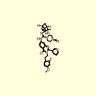 COc1ccc(CCn2c(-c3cccnc3)nc3cc(N/C(=N/[C@H]4C[C@@H]5C[C@H]([C@@H]4C)C5(C)C)N4C[C@@H](C)N(C#N)[C@@H](C)C4)ccc3c2=O)c(F)c1